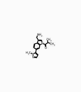 CC(C)C(=O)n1cc(CN)c2ccc(-c3ccnn3C)cc21